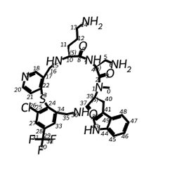 CN1C(=O)[C@H](CN)NC(=O)[C@H](CCCN)NCc2cnccc2Sc2c(Cl)cc(C(F)(F)F)cc2CNC(=O)[C@@H]1Cc1c[nH]c2ccccc12